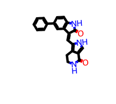 O=C1Nc2ccc(-c3ccccc3)cc2C1=Cc1[nH]cc2c1CCNC2=O